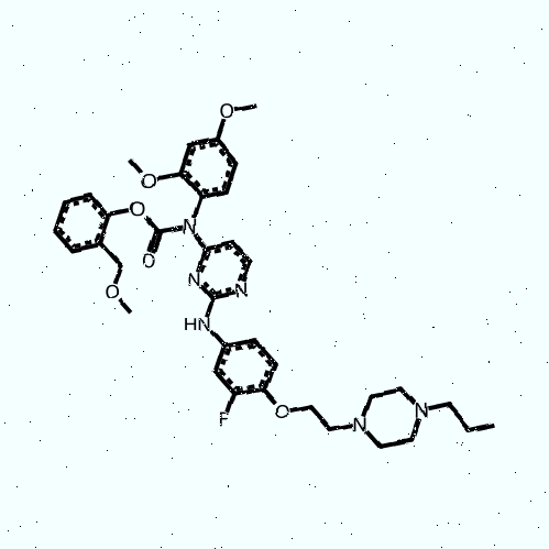 CCCN1CCN(CCOc2ccc(Nc3nccc(N(C(=O)Oc4ccccc4COC)c4ccc(OC)cc4OC)n3)cc2F)CC1